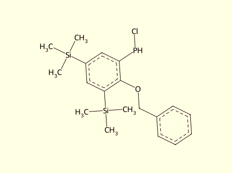 C[Si](C)(C)c1cc(PCl)c(OCc2ccccc2)c([Si](C)(C)C)c1